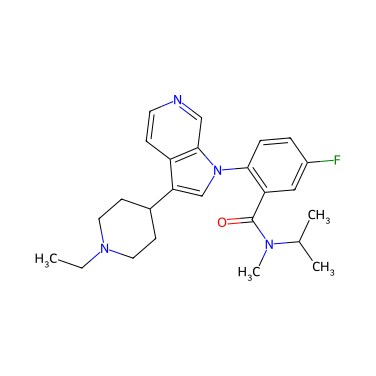 CCN1CCC(c2cn(-c3ccc(F)cc3C(=O)N(C)C(C)C)c3cnccc23)CC1